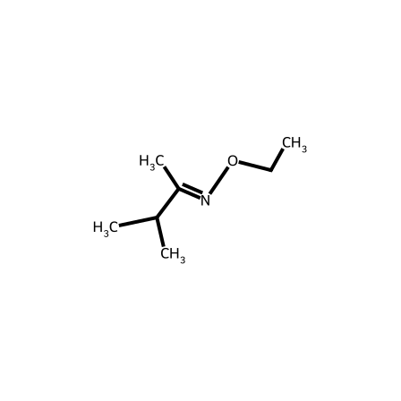 CCO/N=C(\C)C(C)C